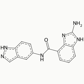 Nc1nc2c(C(=O)Nc3ccc4[nH]ncc4c3)cccc2[nH]1